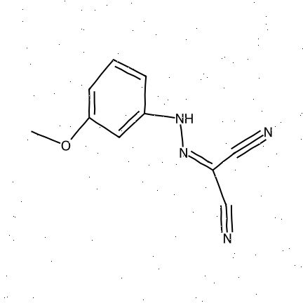 COc1cccc(NN=C(C#N)C#N)c1